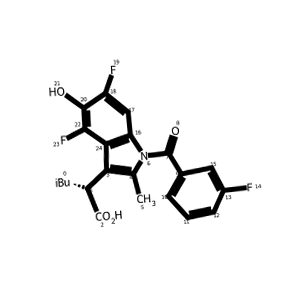 CC[C@@H](C)C(C(=O)O)c1c(C)n(C(=O)c2cccc(F)c2)c2cc(F)c(O)c(F)c12